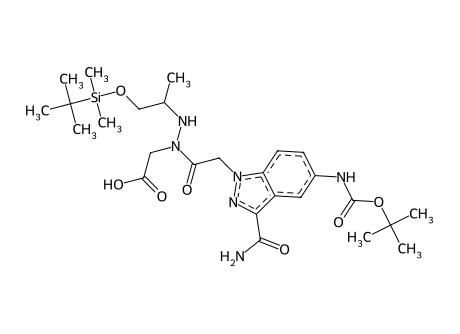 CC(CO[Si](C)(C)C(C)(C)C)NN(CC(=O)O)C(=O)Cn1nc(C(N)=O)c2cc(NC(=O)OC(C)(C)C)ccc21